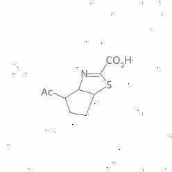 CC(=O)C1CCC2SC(C(=O)O)=NC21